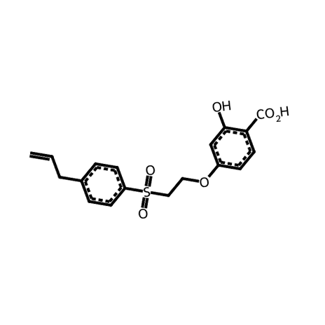 C=CCc1ccc(S(=O)(=O)CCOc2ccc(C(=O)O)c(O)c2)cc1